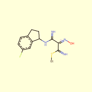 CCSC(=N)/C(=N\O)C(=N)NC1CCc2ccc(F)cc21